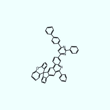 c1ccc(-c2ccc(-c3cc(-c4ccc5c(c4)nc(-c4ccccc4)c4cc6c(cc45)C4(c5ccccc5Oc5ccccc54)c4ccccc4-6)nc(-c4ccccc4)n3)cc2)cc1